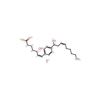 CCCCC/C=C\CC(O)c1ccc(/C=C\[C@@H](O)CCCC(=O)[O-])cc1.[Li+]